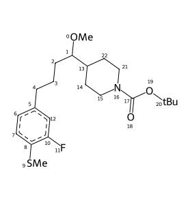 COC(CCCc1ccc(SC)c(F)c1)C1CCN(C(=O)OC(C)(C)C)CC1